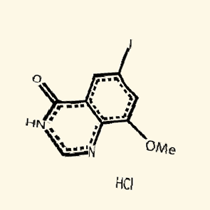 COc1cc(I)cc2c(=O)[nH]cnc12.Cl